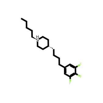 CCCCC[Si@H]1CC[C@H](CCCCc2cc(F)c(F)c(F)c2)CC1